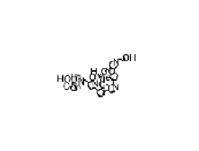 COc1nc(-c2cccc(-c3ccnc(-c4ccc5c6c(n(C)c5c4)CCN(CCO)C6)c3Cl)c2Cl)ccc1CN(C[C@@H]1CCC(=O)N1)C(=O)O